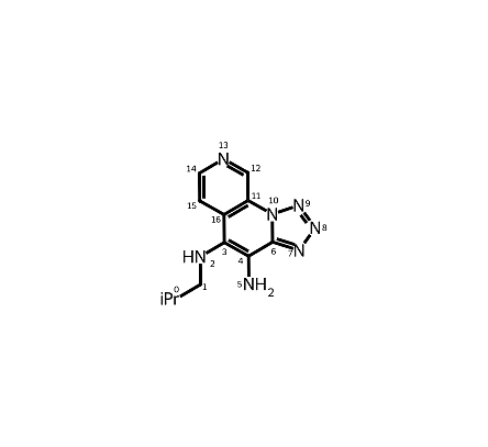 CC(C)CNc1c(N)c2nnnn2c2cnccc12